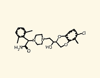 Cc1cccc(C)c1C(C(N)=O)N1CCN(CC(O)C2COc3c(ccc(Cl)c3C)O2)CC1